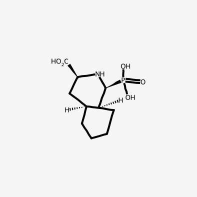 O=C(O)[C@@H]1C[C@@H]2CCCC[C@@H]2[C@H](P(=O)(O)O)N1